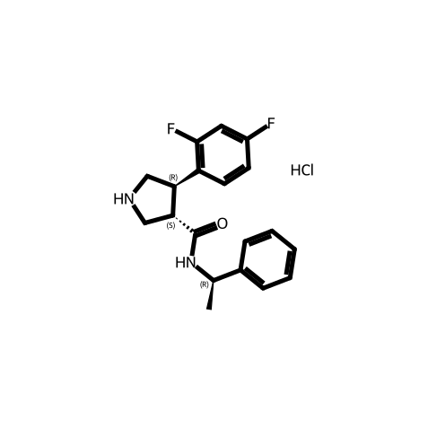 C[C@@H](NC(=O)[C@@H]1CNC[C@H]1c1ccc(F)cc1F)c1ccccc1.Cl